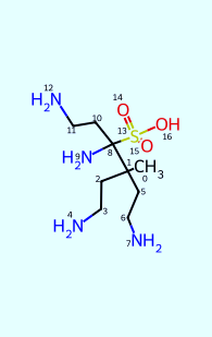 CC(CCN)(CCN)C(N)(CCN)S(=O)(=O)O